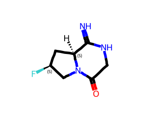 N=C1NCC(=O)N2C[C@@H](F)C[C@@H]12